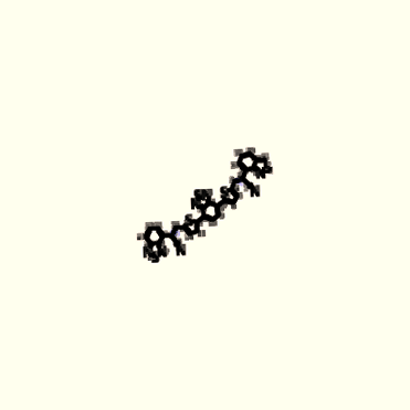 N#C/C(=C\c1ccc(-c2ccc(-c3ccc(/C=C(\C#N)c4cccc5nsnc45)s3)c3nsnc23)s1)c1cccc2csnc12